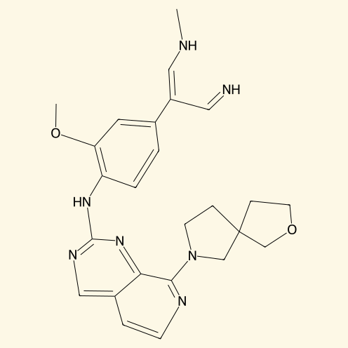 CN/C=C(\C=N)c1ccc(Nc2ncc3ccnc(N4CCC5(CCOC5)C4)c3n2)c(OC)c1